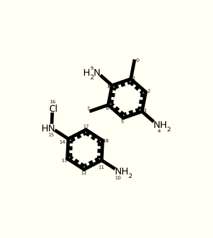 Cc1cc(N)cc(C)c1N.Nc1ccc(NCl)cc1